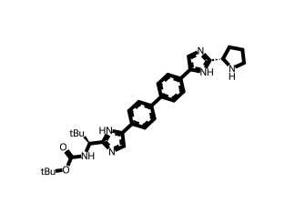 CC(C)(C)OC(=O)N[C@H](c1ncc(-c2ccc(-c3ccc(-c4cnc([C@@H]5CCCN5)[nH]4)cc3)cc2)[nH]1)C(C)(C)C